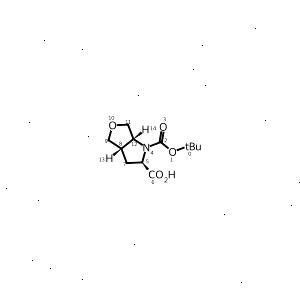 CC(C)(C)OC(=O)N1[C@@H](C(=O)O)C[C@@H]2COC[C@@H]21